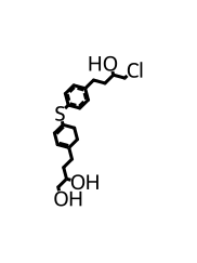 OCC(O)CCC1=CC=C(Sc2ccc(CCC(O)CCl)cc2)CC1